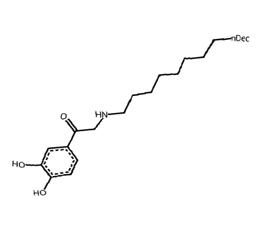 CCCCCCCCCCCCCCCCCCNCC(=O)c1ccc(O)c(O)c1